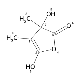 CC1=C(O)OC(=O)C1(C)O